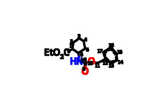 CCOC(=O)C1CCCCC1NC(=O)OCc1ccccc1